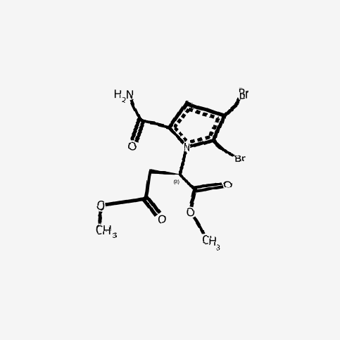 COC(=O)C[C@H](C(=O)OC)n1c(C(N)=O)cc(Br)c1Br